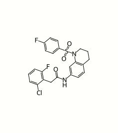 O=C(Cc1c(F)cccc1Cl)Nc1ccc2c(c1)N(S(=O)(=O)c1ccc(F)cc1)CCC2